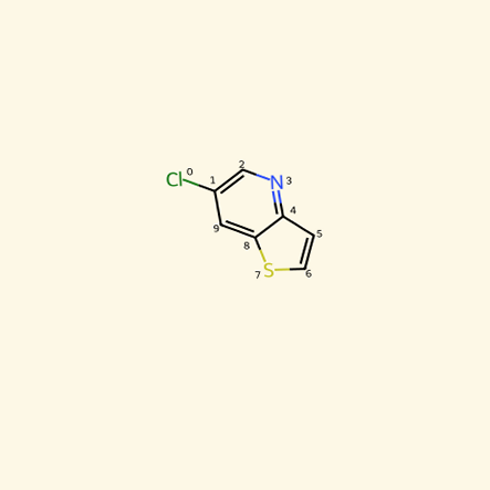 Clc1cnc2ccsc2c1